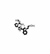 CCCCCCCCCCCCn1cc(-c2noc([C@@H]3CCCN3/C(N)=N\O)n2)c2ccccc21